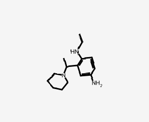 CCNc1ccc(N)cc1C(C)N1CCCCC1